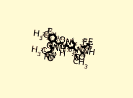 COC[C@H](c1ccnc(NC(=O)C(NC(=O)c2nonc2C)C2CCC(C)(F)CC2)c1)N1C[C@@H](C(F)(F)F)NC1=O